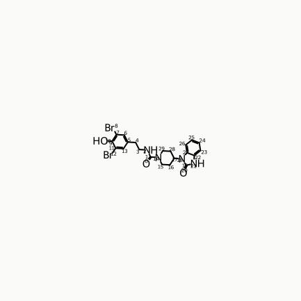 O=C(NCCc1cc(Br)c(O)c(Br)c1)N1CCC(n2c(=O)[nH]c3ccccc32)CC1